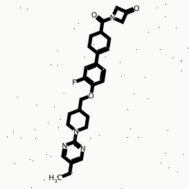 CCc1cnc(N2CCC(COc3ccc(C4=CCC(C(=O)N5CC(=O)C5)CC4)cc3F)CC2)nc1